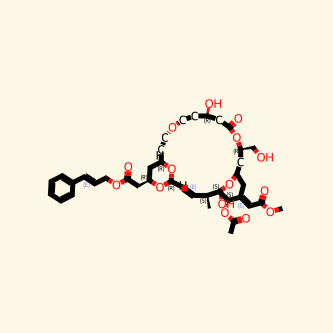 COC(=O)/C=C1\CC2C[C@H](CO)OC(=O)C[C@H](O)CCOCC[C@@H]3C[C@H](CC(=O)OC/C=C/c4ccccc4)O[C@H](/C=C/[C@H](C)[C@](O)(O2)[C@H]1OC(C)=O)O3